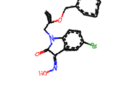 C=C(CN1C(=O)/C(=N\O)c2cc(Br)ccc21)OCc1ccccc1